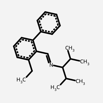 CCc1cccc(-c2ccccc2)c1/C=N/C(C(C)C)C(C)C